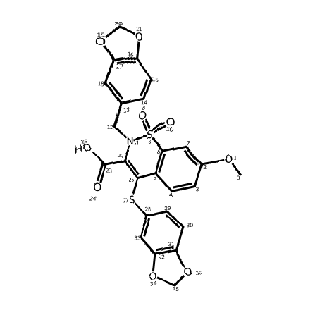 COc1ccc2c(c1)S(=O)(=O)N(Cc1ccc3c(c1)OCO3)C(C(=O)O)=C2Sc1ccc2c(c1)OCO2